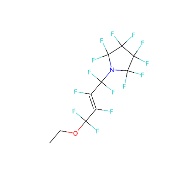 CCOC(F)(F)/C(F)=C(\F)C(F)(F)N1C(F)(F)C(F)(F)C(F)(F)C1(F)F